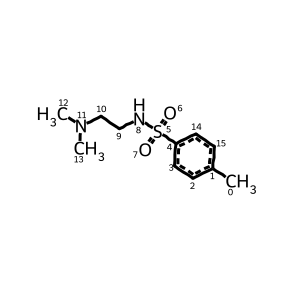 Cc1ccc(S(=O)(=O)NCCN(C)C)cc1